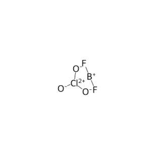 F[B+]F.[O-][Cl+2]([O-])[O-]